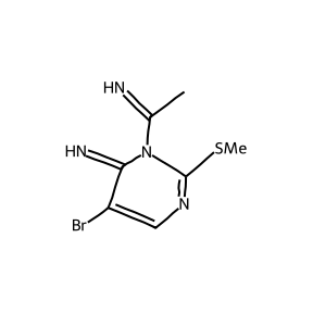 CSc1ncc(Br)c(=N)n1C(C)=N